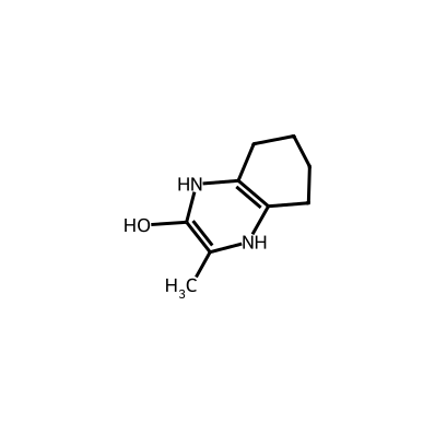 CC1=C(O)NC2=C(CCCC2)N1